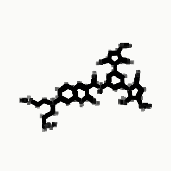 COC1=CC(=O)N(c2cc(NC(=O)c3cc4ccc(N(CCC(=O)O)CCC(=O)O)cc4oc3=O)cc(N3C(=O)C=C(OC)C3O)c2)C1=O